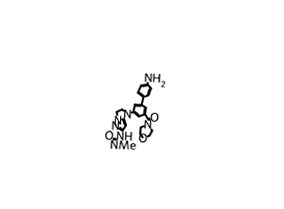 CNC(=O)Nc1cc2n(n1)CCN2c1cc(C(=O)N2CCOCC2)cc(-c2ccc(N)cc2)c1